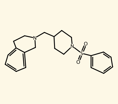 O=S(=O)(c1ccccc1)N1CCC(CN2CCc3ccccc3C2)CC1